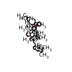 CC[C@]1(O)C[C@H]2C[N@](CCc3c([nH]c4ccccc34)[C@@](C(=O)OC)(c3cc4c(cc3OC)N(C)C3[C@]45CCN4CC=C[C@](CC)(C45)[C@@H](OC(=O)CCc4ccc5n4[B-](F)(F)[N+]4=C(C)C=C(C)C4=C5)[C@]3(O)C(=O)OC)C2)C1